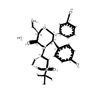 CC[C@@H](CS(=O)(=O)C(C)(C)C)N1C(=O)[C@@H](CN)O[C@H](c2cccc(Cl)c2)[C@H]1c1ccc(Cl)cc1.Cl